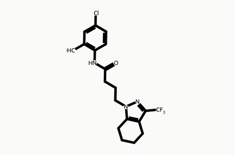 [CH]c1cc(Cl)ccc1NC(=O)CCCn1nc(C(F)(F)F)c2c1CCCC2